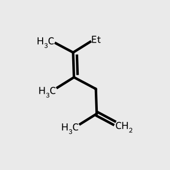 C=C(C)CC(C)=C(C)CC